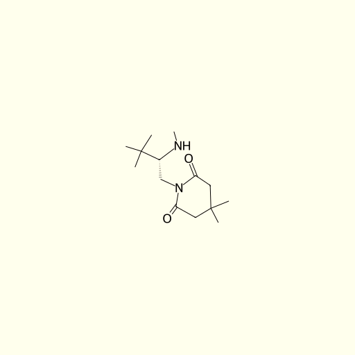 CN[C@H](CN1C(=O)CC(C)(C)CC1=O)C(C)(C)C